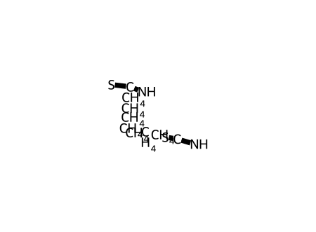 C.C.C.C.C.C.C.N=C=S.N=C=S